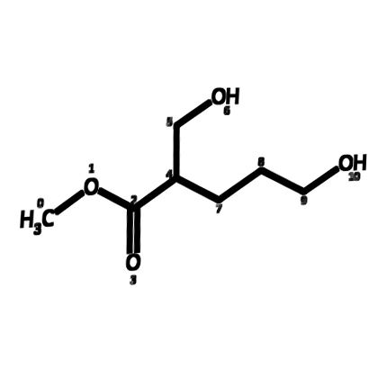 COC(=O)C(CO)CCCO